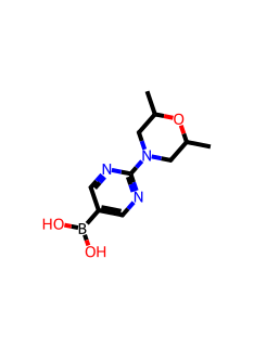 CC1CN(c2ncc(B(O)O)cn2)CC(C)O1